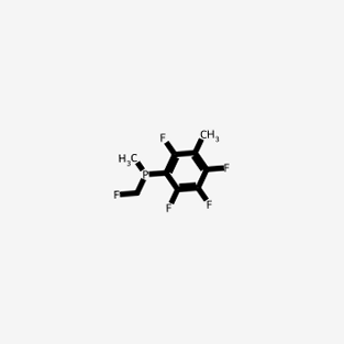 Cc1c(F)c(F)c(F)c(P(C)CF)c1F